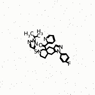 CC(C)n1ncc(SN2CCC3Cc4c(cnn4-c4ccc(F)cc4)CC3(C(=O)c3ccccn3)C2)n1